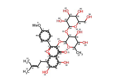 COc1ccc(-c2oc3c(CC=C(C)C)c(O)cc(O)c3c(=O)c2OC2OC(C)C(O)C(O)C2OC2OC(CO)C(O)C(O)C2O)cc1